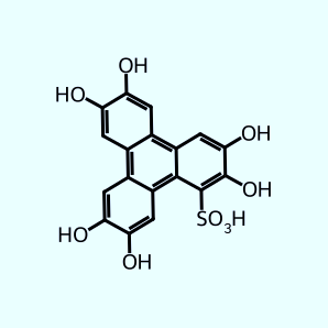 O=S(=O)(O)c1c(O)c(O)cc2c3cc(O)c(O)cc3c3cc(O)c(O)cc3c12